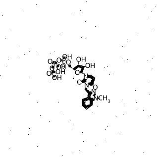 Cn1nc(Cn2c(=O)ccn([C@@H]3O[C@H](COP(=O)(O)OP(=O)(O)OP(=O)(O)O)[C@H](O)[C@@H]3O)c2=O)c2ccccc21